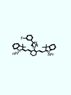 CCCN1/C(=C/C=C2\CCCC(/C=C/C3=[N+](CCC)c4ccccc4C3(C)C)=C2n2cc(-c3cccc(F)c3)nn2)C(C)(C)c2ccccc21